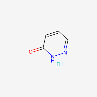 F.O=c1cccn[nH]1